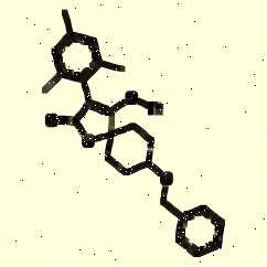 CCOC1=C(c2c(C)cc(C)cc2C)C(=O)OC12CCC(OCc1ccccc1)CC2